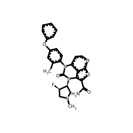 Cc1cc(Oc2ccccc2)ccc1N1C(=O)N([C@H]2CN(C)C[C@H]2F)c2c(C(N)=O)sc3nccc1c23